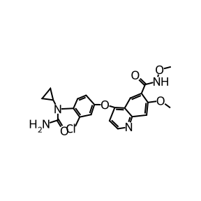 CONC(=O)c1cc2c(Oc3ccc(N(C(N)=O)C4CC4)c(Cl)c3)ccnc2cc1OC